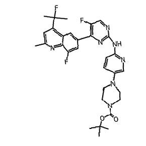 Cc1cc(C(C)(C)F)c2cc(-c3nc(Nc4ccc(N5CCN(C(=O)OC(C)(C)C)CC5)cn4)ncc3F)cc(F)c2n1